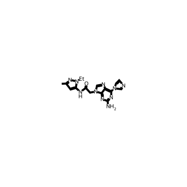 CCn1nc(C)cc1NC(=O)Cn1cnc2c(-n3ccnc3)nc(N)nc21